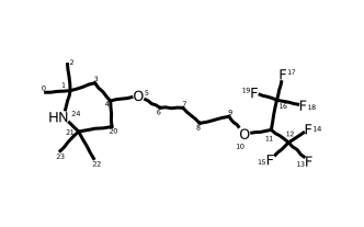 CC1(C)CC(OCCCCOC(C(F)(F)F)C(F)(F)F)CC(C)(C)N1